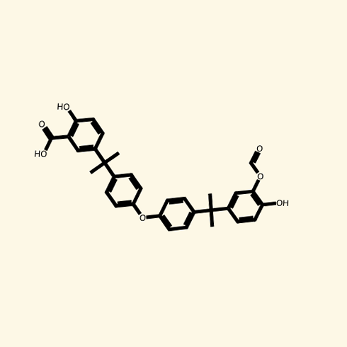 CC(C)(c1ccc(Oc2ccc(C(C)(C)c3ccc(O)c(C(=O)O)c3)cc2)cc1)c1ccc(O)c(OC=O)c1